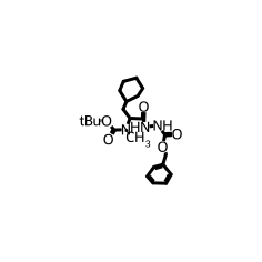 CN(C(=O)OC(C)(C)C)C(CC1CCCCC1)C(=O)NNC(=O)OCc1ccccc1